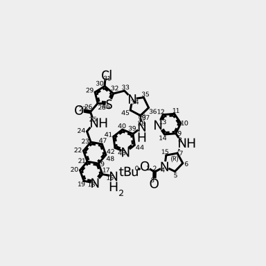 CC(C)(C)OC(=O)N1CC[C@@H](Nc2cccnc2)C1.Nc1nccc2cc(CNC(=O)c3cc(Cl)c(CN4CC[C@@H](Nc5cccnc5)C4)s3)ccc12